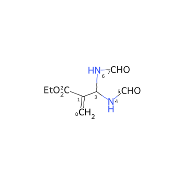 C=C(C(=O)OCC)C(NC=O)NC=O